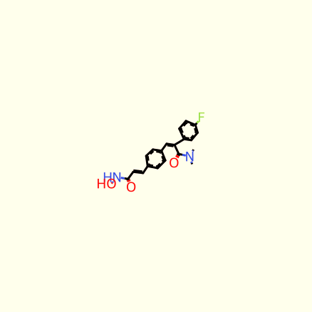 CN(C)C(=O)C(=Cc1ccc(/C=C/C(=O)NO)cc1)c1ccc(F)cc1